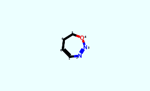 C1=CN=NOCC1